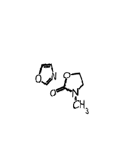 CN1CCOC1=O.c1cocn1